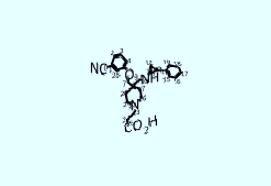 N#Cc1cccc(OCC2(CN[C@@H]3C[C@H]3c3ccccc3)CCN(CCC(=O)O)CC2)c1